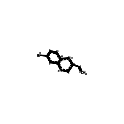 C=Cc1cnc2cc(Br)ccc2n1